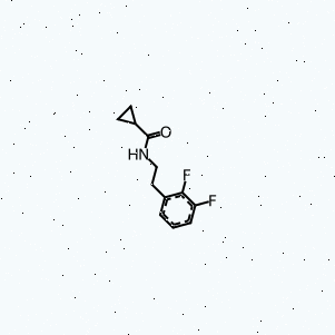 O=C(NCCc1cccc(F)c1F)C1CC1